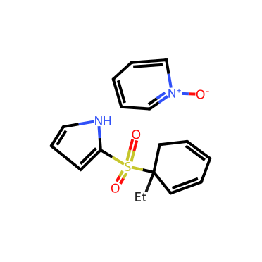 CCC1(S(=O)(=O)c2ccc[nH]2)C=CC=CC1.[O-][n+]1ccccc1